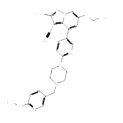 CCOc1cc(-c2ccc(N3CCN(Cc4ccc(OC)nc4)CC3)nc2)c2c(C#N)c(N)nn2c1